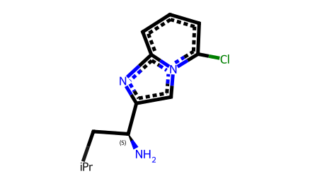 CC(C)C[C@H](N)c1cn2c(Cl)cccc2n1